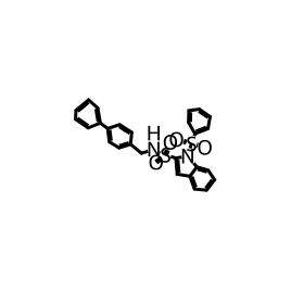 O=S(=O)(NCc1ccc(-c2ccccc2)cc1)c1cc2ccccc2n1S(=O)(=O)c1ccccc1